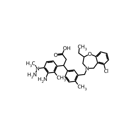 CCC1CN(Cc2cc(C(CC(=O)O)c3ccc(N(C)N)c(N)c3C)ccc2C)Cc2c(Cl)cccc2O1